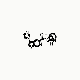 C[C@H]1[C@H](NC(=O)c2cc3c(-n4ccnc4)csc3cn2)C2CCN1CC2